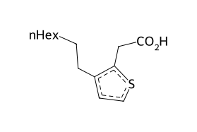 CCCCCCCCc1ccsc1CC(=O)O